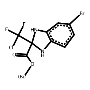 CC(C)(C)OC(=O)C1(C(F)(F)Cl)Nc2ccc(Br)cc2N1